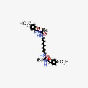 CCC(C)[C@H](NC(=O)Cc1ccc(C(=O)O)cc1)C(=O)NCCCCCCCCCNC(=O)[C@@H](NC(=O)Cc1ccc(C(=O)O)cc1)C(C)CC